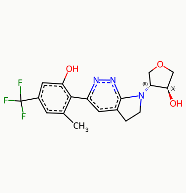 Cc1cc(C(F)(F)F)cc(O)c1-c1cc2c(nn1)N([C@@H]1COC[C@H]1O)CC2